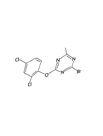 Cc1nc(Br)nc(Oc2ccc(Cl)cc2Cl)n1